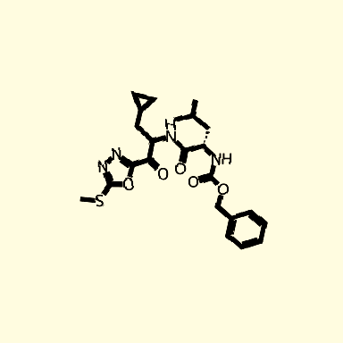 CSc1nnc(C(=O)C(CC2CC2)NC(=O)[C@H](CC(C)C)NC(=O)OCc2ccccc2)o1